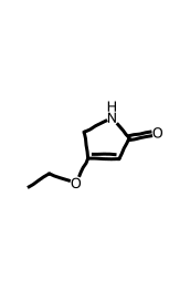 CCOC1=CC(=O)NC1